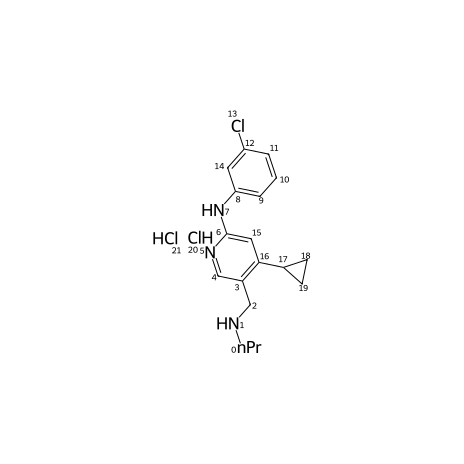 CCCNCc1cnc(Nc2cccc(Cl)c2)cc1C1CC1.Cl.Cl